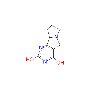 Oc1nc(O)c2c(n1)C1CCCN1C2